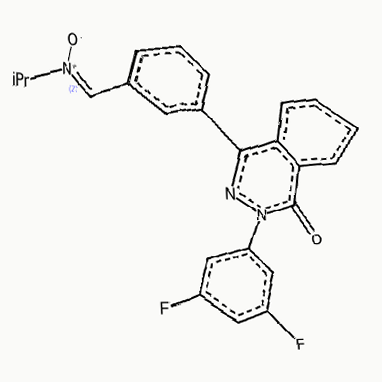 CC(C)/[N+]([O-])=C/c1cccc(-c2nn(-c3cc(F)cc(F)c3)c(=O)c3ccccc23)c1